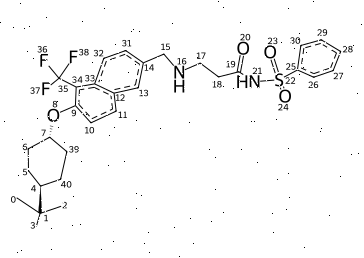 CC(C)(C)[C@H]1CC[C@H](Oc2ccc3cc(CNCCC(=O)NS(=O)(=O)c4ccccc4)ccc3c2C(F)(F)F)CC1